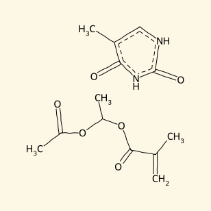 C=C(C)C(=O)OC(C)OC(C)=O.Cc1c[nH]c(=O)[nH]c1=O